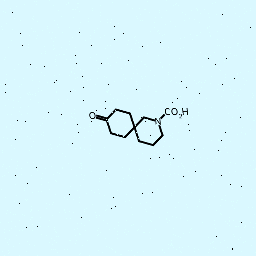 O=C1CCC2(CCCN(C(=O)O)C2)CC1